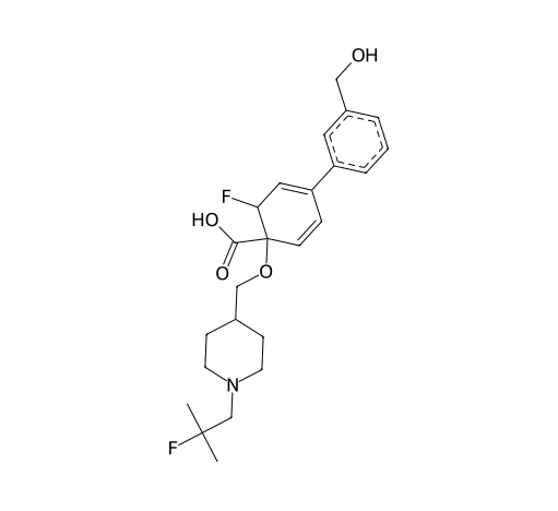 CC(C)(F)CN1CCC(COC2(C(=O)O)C=CC(c3cccc(CO)c3)=CC2F)CC1